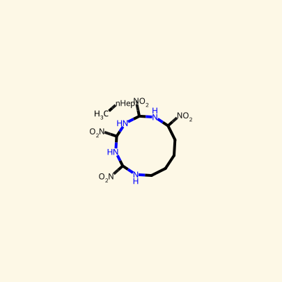 CCCCCCCC.O=[N+]([O-])C1CCCCNC([N+](=O)[O-])NC([N+](=O)[O-])NC([N+](=O)[O-])N1